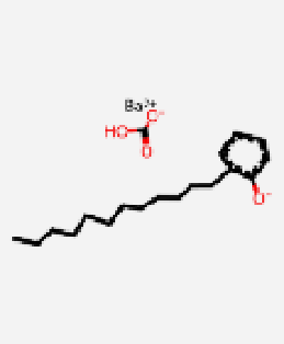 CCCCCCCCCCCCc1ccccc1[O-].O=C([O-])O.[Ba+2]